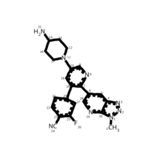 Cn1nnc2cc(-c3ncc(N4CCC(N)CC4)cc3-c3ccc(C#N)c(F)c3)cnc21